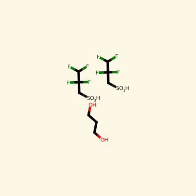 O=S(=O)(O)CC(F)(F)C(F)F.O=S(=O)(O)CC(F)(F)C(F)F.OCCCO